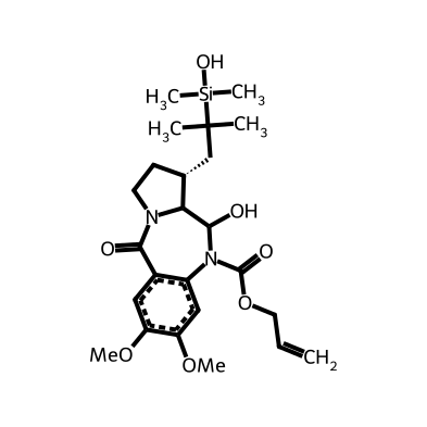 C=CCOC(=O)N1c2cc(OC)c(OC)cc2C(=O)N2CC[C@H](CC(C)(C)[Si](C)(C)O)C2C1O